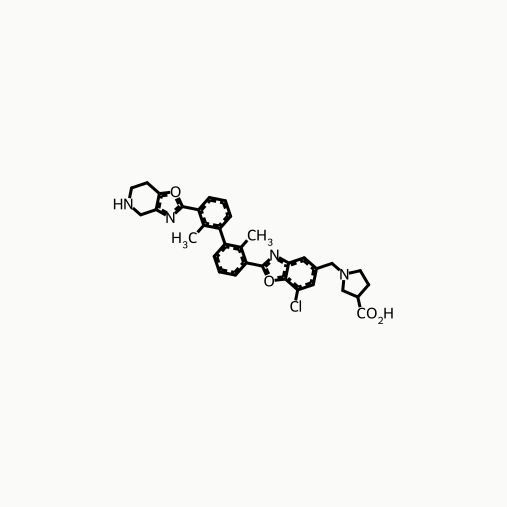 Cc1c(-c2nc3c(o2)CCNC3)cccc1-c1cccc(-c2nc3cc(CN4CCC(C(=O)O)C4)cc(Cl)c3o2)c1C